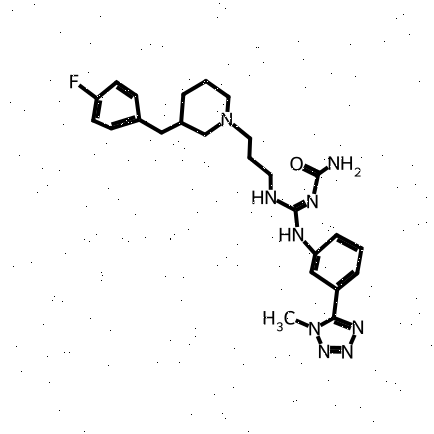 Cn1nnnc1-c1cccc(NC(=NC(N)=O)NCCCN2CCCC(Cc3ccc(F)cc3)C2)c1